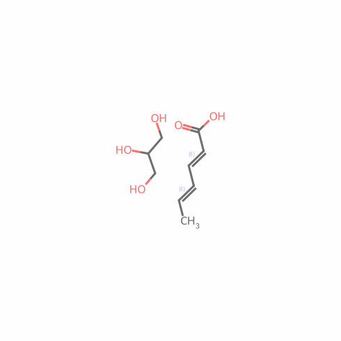 C/C=C/C=C/C(=O)O.OCC(O)CO